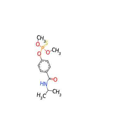 COP(=S)(OC)Oc1ccc(C(=O)NC(C)C)cc1